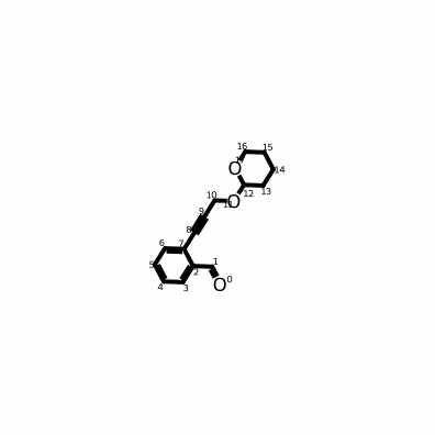 O=Cc1ccccc1C#CCOC1CCCCO1